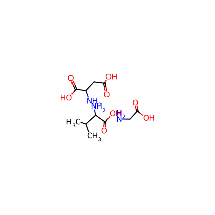 CC(C)C(N)C(=O)O.NC(CC(=O)O)C(=O)O.NCC(=O)O